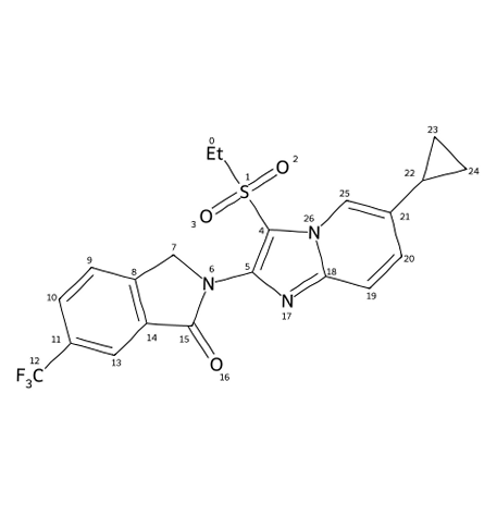 CCS(=O)(=O)c1c(N2Cc3ccc(C(F)(F)F)cc3C2=O)nc2ccc(C3CC3)cn12